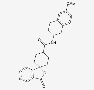 COc1ccc2c(c1)CCC(NC(=O)C1CCC3(CC1)OC(=O)c1cnccc13)C2